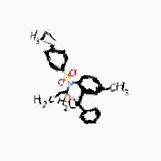 C=CC(=O)N(c1ccc(C)cc1C(=C)c1ccccc1)S(=O)(=O)c1ccc(C)cc1